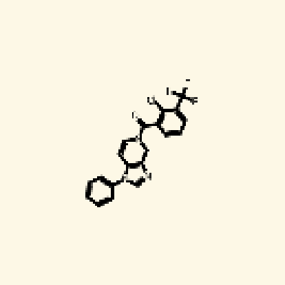 O=C(c1cccc(C(F)(F)F)c1Cl)N1C=Cc2c(ncn2-c2ccccc2)C1